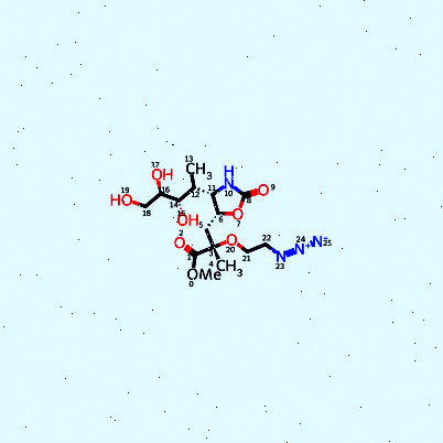 COC(=O)[C@](C)(C[C@H]1OC(=O)N[C@H]1C(C)[C@H](O)[C@H](O)CO)OCCN=[N+]=[N-]